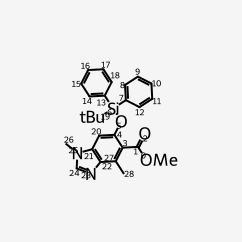 COC(=O)c1c(O[Si](c2ccccc2)(c2ccccc2)C(C)(C)C)cc2c(ncn2C)c1C